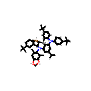 Cc1cc2c(c(C)c1N1c3cc(C(C)C)cc4c3B(c3cc(C(C)(C)C)ccc3N4c3ccc(C(C)(C)C)cc3)c3sc4ccc(C(C)(C)C)cc4c31)OCO2